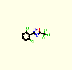 Clc1cccc(Cl)c1-c1noc(C(Cl)(Cl)Cl)n1